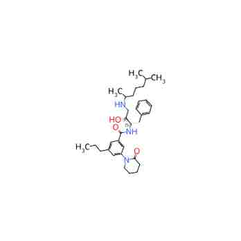 CCCc1cc(C(=O)N[C@@H](Cc2ccccc2)[C@H](O)CNC(C)CCCC(C)C)cc(N2CCCCC2=O)c1